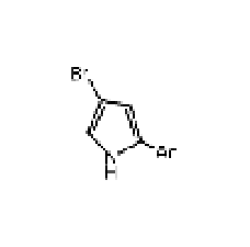 CC(=O)c1cc(Br)c[nH]1